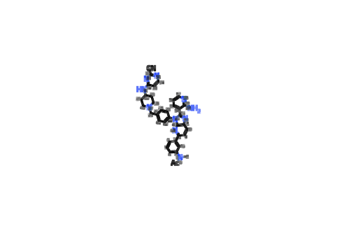 CC(=O)N(C)c1cccc(-c2ccc3nc(-c4cccnc4N)n(-c4ccc(CN5CCC(Nc6ccnc(C#N)n6)CC5)cc4)c3n2)c1